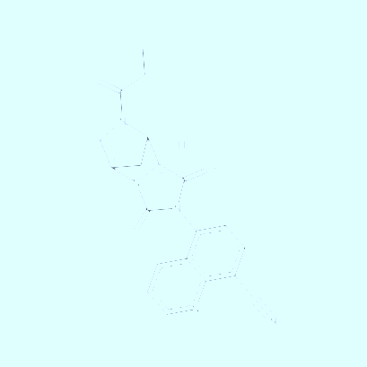 CCC(=O)N1C[C@H]2CC1[C@H]1C(=O)N(c3ccc(C#N)c4ncccc34)C(=O)N21